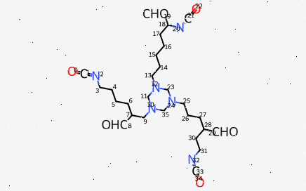 O=C=NCCCCC(C=O)CN1CN(CCCCCC(C=O)N=C=O)CN(CCCC(C=O)CCN=C=O)C1